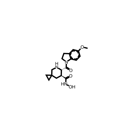 COc1ccc2c(c1)CCN2C(=O)[C@H]1NCC2(CC2)C[C@@H]1C(=O)NO